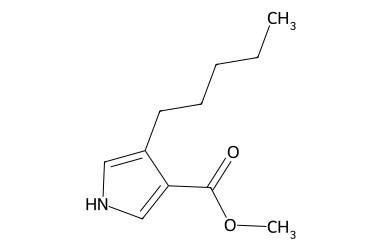 CCCCCc1c[nH]cc1C(=O)OC